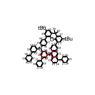 CC(C)(C)c1cc(-c2ccc(N(c3cccc(-c4ccccc4)c3)c3cccc(-c4ccccc4)c3)cc2)c2c(c1)C(C)(C)c1cc(C(C)(C)C)cc(-c3ccc(N(c4cccc(-c5ccccc5)c4)c4cccc(-c5ccccc5)c4)cc3)c1O2